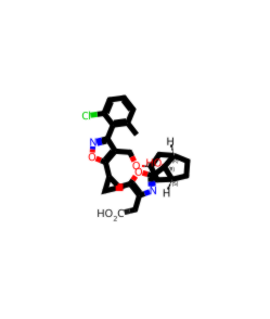 Cc1cccc(Cl)c1-c1noc(C2CC2)c1CO[C@@H]1C[C@H]2CC[C@@H](C1)[C@]2(O)c1nc(CC(=O)O)c(C)o1